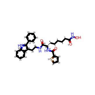 O=C(CCCCC[C@H](NC(=O)c1cccs1)C(=O)NCCc1c(-c2ccccc2)[nH]c2ccccc12)NO